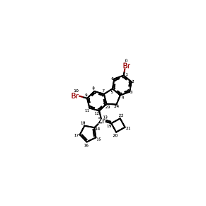 Brc1ccc2c(c1)-c1cc(Br)c[c]([Zr]([C]3=CC=CC3)=[C]3CCC3)c1C2